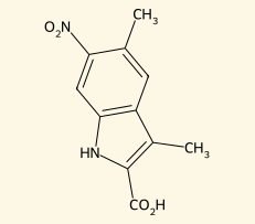 Cc1cc2c(C)c(C(=O)O)[nH]c2cc1[N+](=O)[O-]